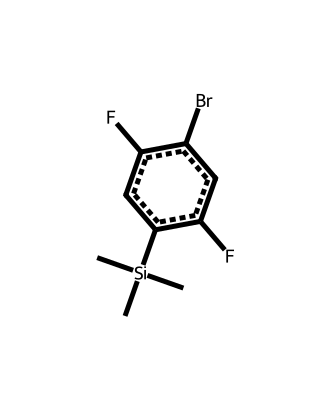 C[Si](C)(C)c1cc(F)c(Br)cc1F